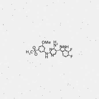 COc1cc(Nc2ncc(-c3n[nH]c4c(F)c(F)ccc34)c(N)n2)cc(S(C)(=O)=O)c1